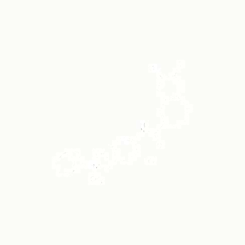 C[N+](C)(Cc1ccc(NC(=O)C2=Cc3cc(Cl)c(Cl)cc3OCC2)cc1)C1CC2CCC1C2.[Cl-]